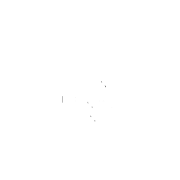 Cn1nccc1N1CCCCC1